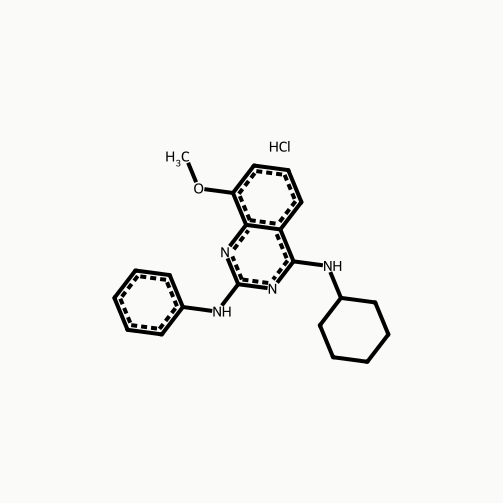 COc1cccc2c(NC3CCCCC3)nc(Nc3ccccc3)nc12.Cl